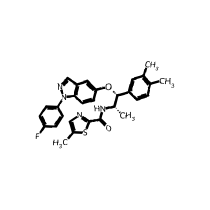 Cc1cnc(C(=O)N[C@@H](C)[C@H](Oc2ccc3c(cnn3-c3ccc(F)cc3)c2)c2ccc(C)c(C)c2)s1